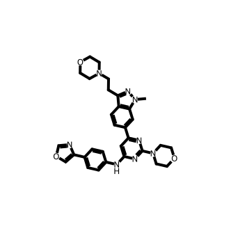 Cn1nc(CCN2CCOCC2)c2ccc(-c3cc(Nc4ccc(-c5cocn5)cc4)nc(N4CCOCC4)n3)cc21